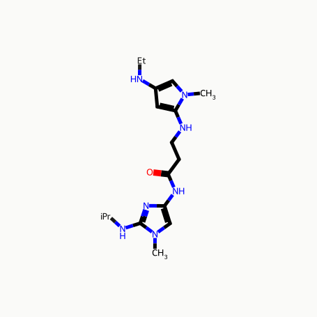 CCNc1cc(NCCC(=O)Nc2cn(C)c(NC(C)C)n2)n(C)c1